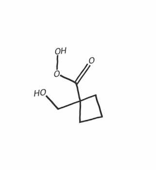 O=C(OO)C1(CO)CCC1